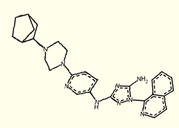 Nc1nc(Nc2ccc(N3CCN(C4CC5CCC4C5)CC3)nc2)nn1-c1nccc2ccccc12